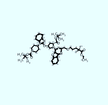 CCOC(=O)C(F)(F)CCCOCc1nc(N2C[C@@H](Oc3nc4ccccc4n3C3CCN(C(=O)OC(C)(C)C)CC3)C[C@H]2C(=O)OC(C)(C)C)c2oc3ccccc3c2n1